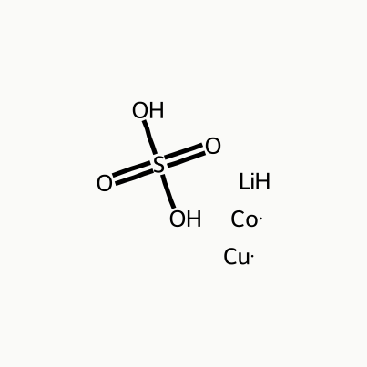 O=S(=O)(O)O.[Co].[Cu].[LiH]